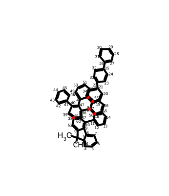 CC1(C)c2ccccc2-c2c(-c3ccccc3N(c3ccc(-c4ccc(-c5ccccc5)cc4)cc3)c3cccc(-c4ccccc4)c3-c3ccccc3-c3ccccc3)cccc21